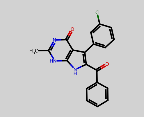 Cc1nc(=O)c2c(-c3cccc(Cl)c3)c(C(=O)c3ccccc3)[nH]c2[nH]1